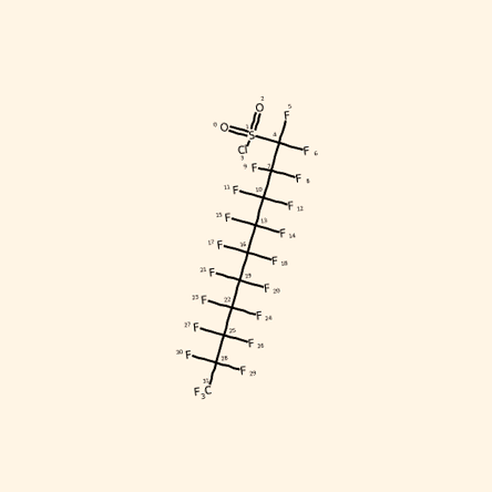 O=S(=O)(Cl)C(F)(F)C(F)(F)C(F)(F)C(F)(F)C(F)(F)C(F)(F)C(F)(F)C(F)(F)C(F)(F)C(F)(F)F